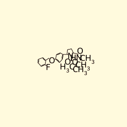 CNC(=O)C1CCC(c2ccc(OCc3ccccc3F)cc2)N1C(=O)OC(C)(C)C